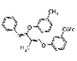 COc1cccc(O/C=C(C)/C(=N/c2ccccc2)Oc2cccc(C)c2)c1